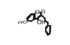 O=c1oc2ccc(O)cc2c(O)c1CCCc1ccccc1